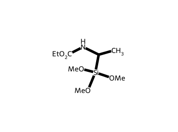 CCOC(=O)NC(C)[Si](OC)(OC)OC